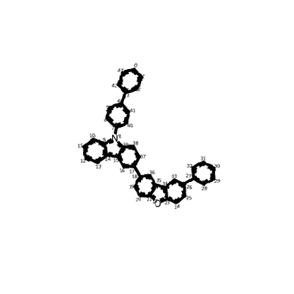 c1ccc(-c2ccc(-n3c4ccccc4c4cc(-c5ccc6oc7ccc(-c8ccccc8)cc7c6c5)ccc43)cc2)cc1